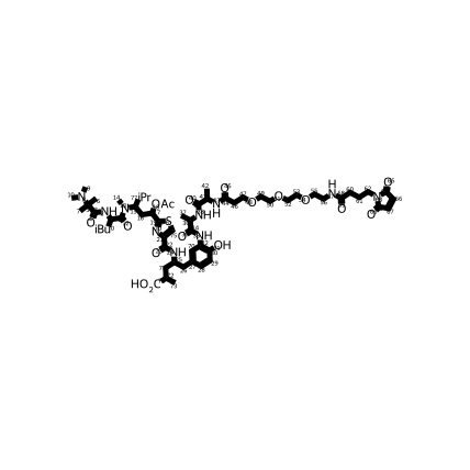 CCC(C)C(NC(=O)C(C)(C)N(C)C)C(=O)N(C)C(CC(OC(C)=O)c1nc(C(=O)NC(Cc2ccc(O)c(NC(=O)C(C)NC(=O)C(C)NC(=O)CCOCCOCCOCCNC(=O)CCCN3C(=O)C=CC3=O)c2)CC(C)C(=O)O)cs1)C(C)C